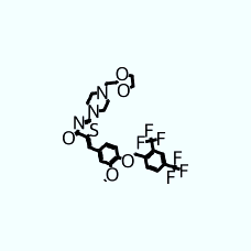 COc1cc(/C=C2\SC(N3CCN(CC4OCCO4)CC3)=NC2=O)ccc1OCc1ccc(C(F)(F)F)cc1C(F)(F)F